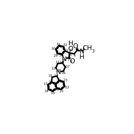 CNC(=O)C[C@@]1(O)C(=O)N(C2CCN([C@H]3Cc4cccc5cccc3c45)CC2)c2ccccc21